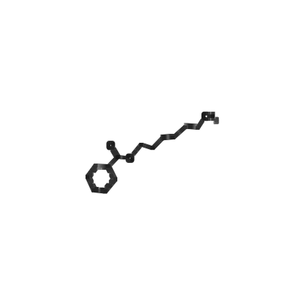 CC=CC=CCCOC(=O)c1ccccc1